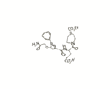 CCOC(=O)N1CCN(C(=O)C(CCC(=O)O)NC(=O)c2cc(OCC(N)=O)n(-c3ccccc3)n2)CC1